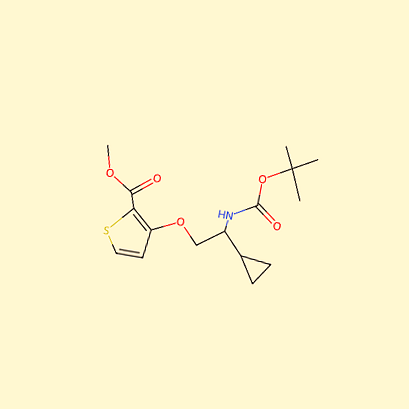 COC(=O)c1sccc1OCC(NC(=O)OC(C)(C)C)C1CC1